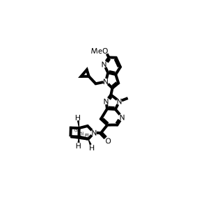 COc1ccc2cc(-c3nc4cc(C(=O)N5C[C@H]6CC7[C@H]6[C@@H]75)cnc4n3C)n(CC3CC3)c2n1